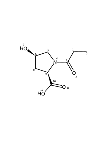 CCC(=O)N1C[C@H](O)C[C@@H]1C(=O)O